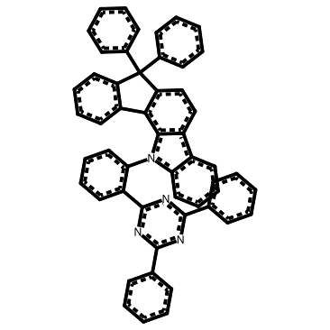 c1ccc(-c2nc(-c3ccccc3)nc(-c3ccccc3-n3c4ccccc4c4ccc5c(c43)-c3ccccc3C5(c3ccccc3)c3ccccc3)n2)cc1